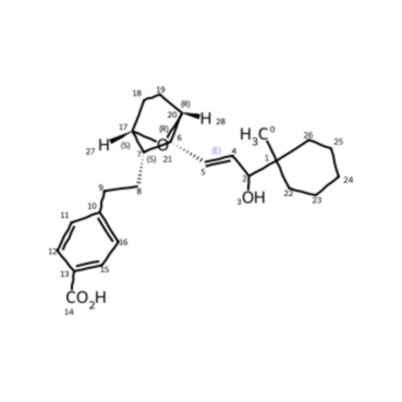 CC1(C(O)/C=C/[C@@H]2[C@H](CCc3ccc(C(=O)O)cc3)[C@@H]3CC[C@H]2O3)CCCCC1